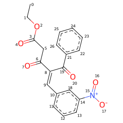 CCOC(=O)CC(=O)C(=Cc1cccc([N+](=O)[O-])c1)C(=O)c1ccccc1